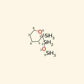 [SiH3]O[SiH2]C1([SiH3])CCCCO1